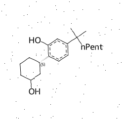 CCCCCC(C)(C)c1ccc([C@H]2CCCC(O)C2)c(O)c1